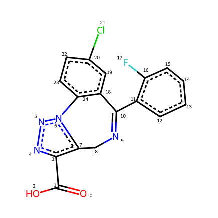 O=C(O)c1nnn2c1CN=C(c1ccccc1F)c1cc(Cl)ccc1-2